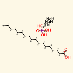 CCCCCCCCCCCCCCCCCC(=O)O.O=P(O)(O)O.[NaH].[NaH].[NaH]